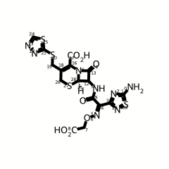 Nc1nc(/C(=N/OCC(=O)O)C(=O)NC2C(=O)N3C(C(=O)O)=C(CSc4nncs4)CS[C@H]23)ns1